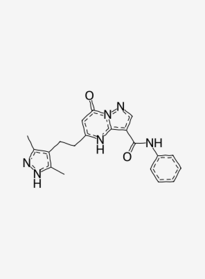 Cc1n[nH]c(C)c1CCc1cc(=O)n2ncc(C(=O)Nc3ccccc3)c2[nH]1